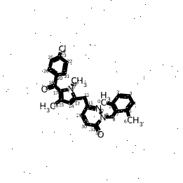 Cc1cccc(C)c1Cn1nc(Cc2cc(C)c(C(=O)c3ccc(Cl)cc3)n2C)ccc1=O